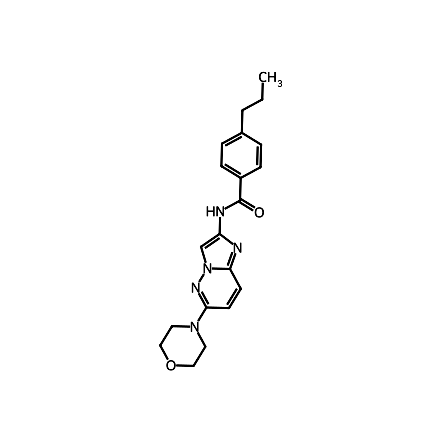 CCCc1ccc(C(=O)Nc2cn3nc(N4CCOCC4)ccc3n2)cc1